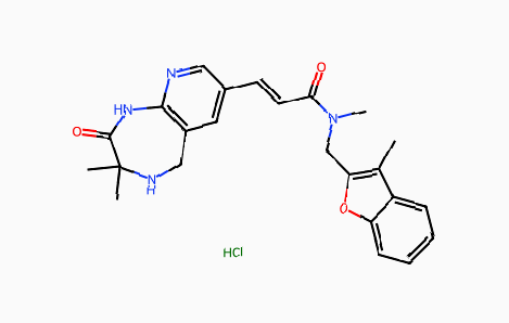 Cc1c(CN(C)C(=O)C=Cc2cnc3c(c2)CNC(C)(C)C(=O)N3)oc2ccccc12.Cl